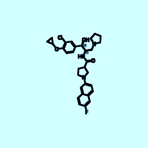 O=C(N[C@H](CN1CCCC1)[C@H](O)c1ccc(OC2CC2)c(Cl)c1)C1CCN(c2ccc3cc(F)ccc3c2)C1